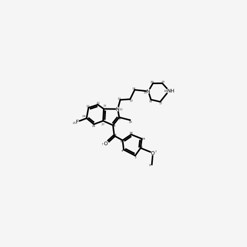 COc1ccc(C(=O)c2c(C)n(CCCN3CCNCC3)c3ccc(F)cc23)cc1